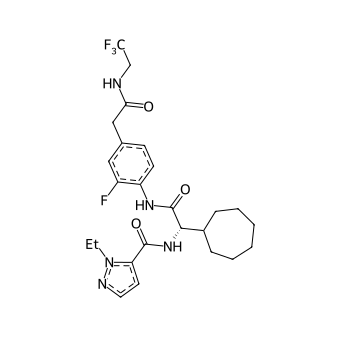 CCn1nccc1C(=O)N[C@H](C(=O)Nc1ccc(CC(=O)NCC(F)(F)F)cc1F)C1CCCCCC1